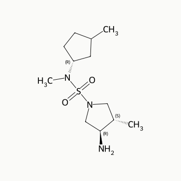 CC1CC[C@@H](N(C)S(=O)(=O)N2C[C@H](C)[C@@H](N)C2)C1